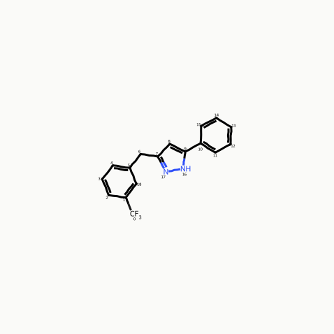 FC(F)(F)c1cccc(Cc2cc(-c3ccccc3)[nH]n2)c1